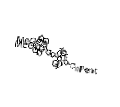 C=C(C)C(=O)Oc1cc(-c2ccc(C3CCC(CCCCC)CC3)cc2F)c(OC(=O)C(=C)C)cc1-c1ccc(OCC(COC(=O)C(=O)OCCOC)COC(=O)C(=O)OCCOC)cc1